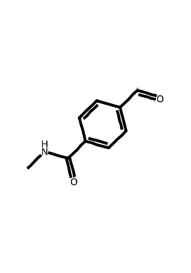 CNC(=O)c1ccc([C]=O)cc1